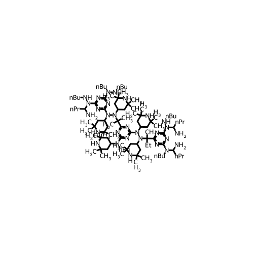 CCCCNN(CCCC)c1nc(N(NCCCC)C(N)CCC)nc(N(C2CC(C)(C)NC(C)(C)C2)N(C2CC(C)(C)NC(C)(C)C2)C(C)(C)c2nc(N(CCCC)C3CC(C)(C)NC(C)(C)C3)nc(N(C3CC(C)(C)NC(C)(C)C3)N(C3CC(C)(C)NC(C)(C)C3)C(C)(CC)c3nc(N(CCCC)C(N)CCC)nc(N(NCCCC)C(N)CCC)n3)n2)n1